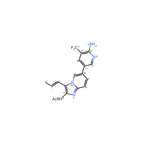 CC=Cc1c(NC(C)=O)nc2ccc(-c3cnc(N)c(C(F)(F)F)c3)cn12